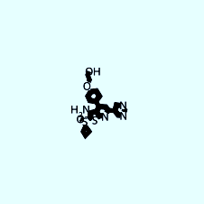 Nc1c([S+]([O-])C2CCC2)sc2nc(-c3cncnc3)cc(-c3ccc(OCCO)cc3)c12